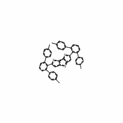 Cc1ccc(-c2cccc(-c3ccc(C)cc3)c2-c2cc3sc4cc(-c5c(-c6ccc(C)cc6)cccc5-c5ccc(C)cc5)sc4c3s2)cc1